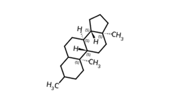 CC1CC[C@@]2(C)C(CC[C@H]3[C@@H]4CCC[C@@]4(C)CC[C@@H]32)C1